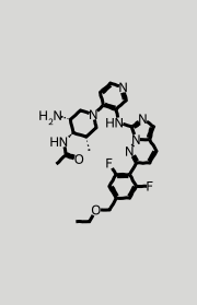 CCOCc1cc(F)c(-c2ccc3cnc(Nc4cnccc4N4C[C@@H](N)[C@@H](NC(C)=O)[C@@H](C)C4)n3n2)c(F)c1